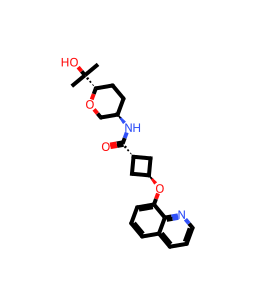 CC(C)(O)[C@@H]1CC[C@@H](NC(=O)[C@H]2C[C@H](Oc3cccc4cccnc34)C2)CO1